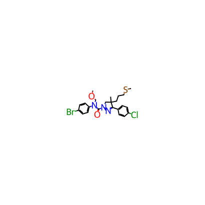 COCN(C(=O)N1CC(C)(CCCSC)C(c2ccc(Cl)cc2)=N1)c1ccc(Br)cc1